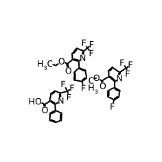 CCOC(=O)c1ccc(C(F)(F)F)nc1-c1ccc(F)cc1.COC(=O)c1ccc(C(F)(F)F)nc1-c1ccc(F)cc1.O=C(O)c1ccc(C(F)(F)F)nc1-c1ccccc1